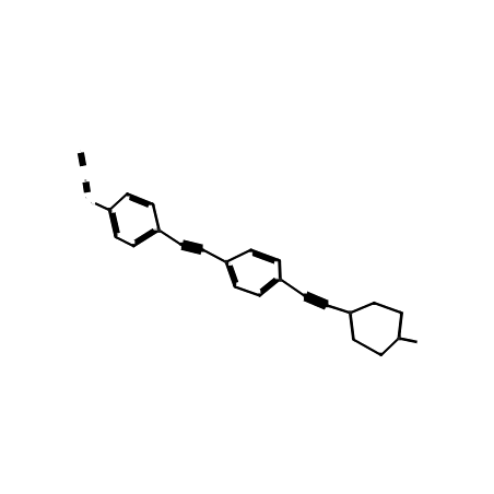 CC1CCC(C#Cc2ccc(C#Cc3ccc(N=C=S)cc3)cc2)CC1